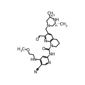 COCCNc1cc(NC(=O)N2CCCc3cc(CN4C[C@@H](C)N[C@H](C)C4)c(C=O)nc32)ncc1C#N